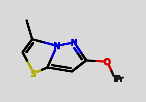 Cc1csc2cc(OC(C)C)nn12